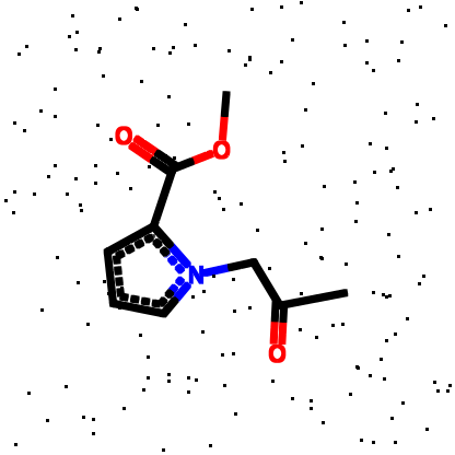 COC(=O)c1cccn1CC(C)=O